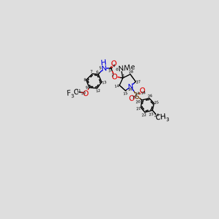 CNC1(OC(=O)Nc2ccc(OC(F)(F)F)cc2)CCN(S(=O)(=O)c2ccc(C)cc2)CC1